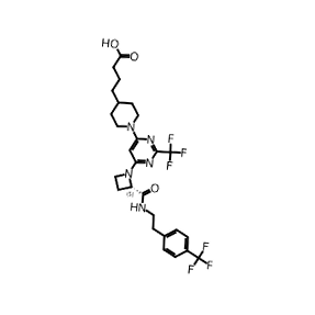 O=C(O)CCCC1CCN(c2cc(N3CC[C@H]3C(=O)NCCc3ccc(C(F)(F)F)cc3)nc(C(F)(F)F)n2)CC1